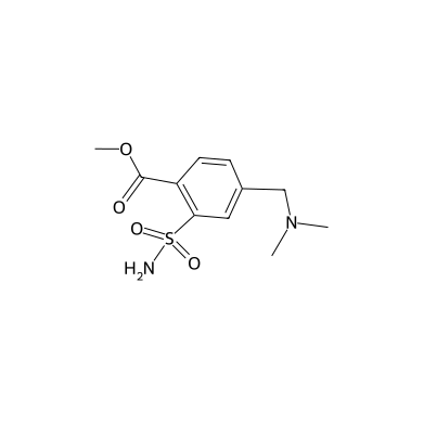 COC(=O)c1ccc(CN(C)C)cc1S(N)(=O)=O